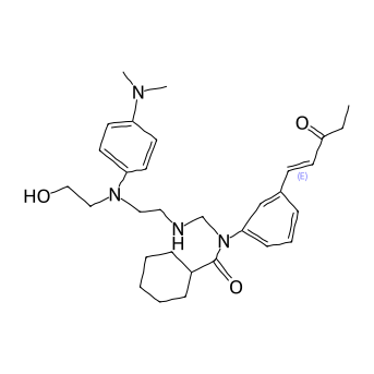 CCC(=O)/C=C/c1cccc(N(CNCCN(CCO)c2ccc(N(C)C)cc2)C(=O)C2CCCCC2)c1